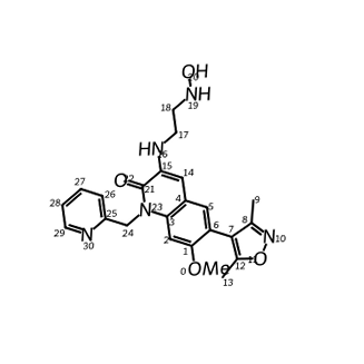 COc1cc2c(cc1-c1c(C)noc1C)cc(NCCNO)c(=O)n2Cc1ccccn1